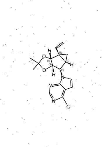 C=C[C@@]12C[C@@H]1[C@@H](n1ccc3c(Cl)ncnc31)[C@@H]1OC(C)(C)O[C@@H]12